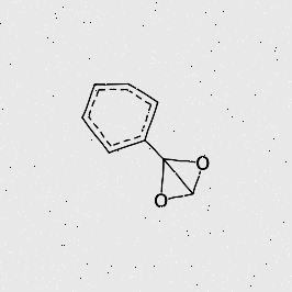 c1ccc(C23OC2O3)cc1